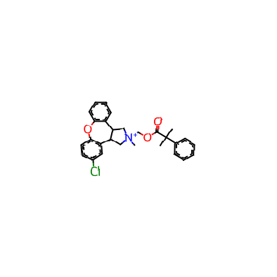 CC(C)(C(=O)OC[N+]1(C)CC2c3ccccc3Oc3ccc(Cl)cc3C2C1)c1ccccc1